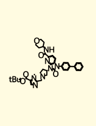 Cn1c(C(=O)OC(C)(C)C)cnc1CN1CC[C@H](n2c(=O)n(-c3ccc(-c4ccccc4)cc3)c3ccc(C(=O)NC4CCOCC4)nc32)C1